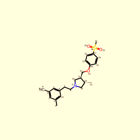 Cc1cc(C#N)cc(CCN2C[C@@H](COc3ccc(S(C)(=O)=O)cc3)[C@H](C)C2)c1